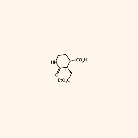 CCOC(=O)C[C@H]1C(=O)NCCN1C(=O)O